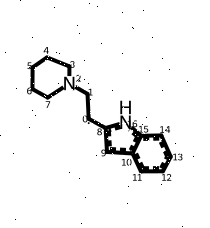 [CH](CN1CCCCC1)c1cc2ccccc2[nH]1